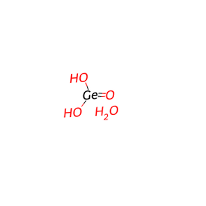 O.[O]=[Ge]([OH])[OH]